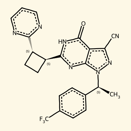 C[C@@H](c1ccc(C(F)(F)F)cc1)n1nc(C#N)c2c(=O)[nH]c([C@H]3CC[C@@H]3c3ncccn3)nc21